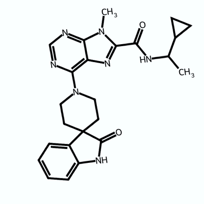 CC(NC(=O)c1nc2c(N3CCC4(CC3)C(=O)Nc3ccccc34)ncnc2n1C)C1CC1